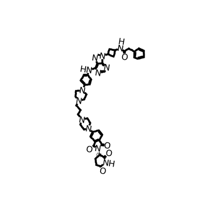 O=C1CC[C@H](N2C(=O)c3ccc(N4CCN(CCCN5CCN(c6ccc(Nc7ncnc8c7ncn8C7CC(NC(=O)Cc8ccccc8)C7)cc6)CC5)CC4)cc3C2=O)C(=O)N1